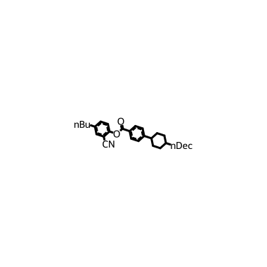 CCCCCCCCCCC1CCC(c2ccc(C(=O)Oc3ccc(CCCC)cc3C#N)cc2)CC1